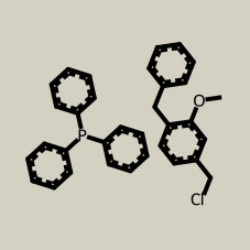 COc1cc(CCl)ccc1Cc1ccccc1.c1ccc(P(c2ccccc2)c2ccccc2)cc1